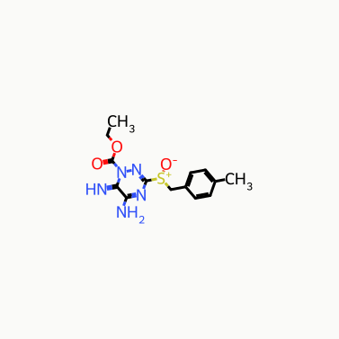 CCOC(=O)n1nc([S+]([O-])Cc2ccc(C)cc2)nc(N)c1=N